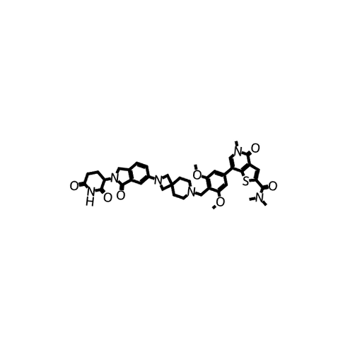 COc1cc(-c2cn(C)c(=O)c3cc(C(=O)N(C)C)sc23)cc(OC)c1CN1CCC2(CC1)CN(c1ccc3c(c1)C(=O)N(C1CCC(=O)NC1=O)C3)C2